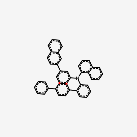 c1ccc(-c2ccc(-c3ccccc3N(c3cccc(-c4ccc5ccccc5c4)c3)c3cccc4ccccc34)cc2)cc1